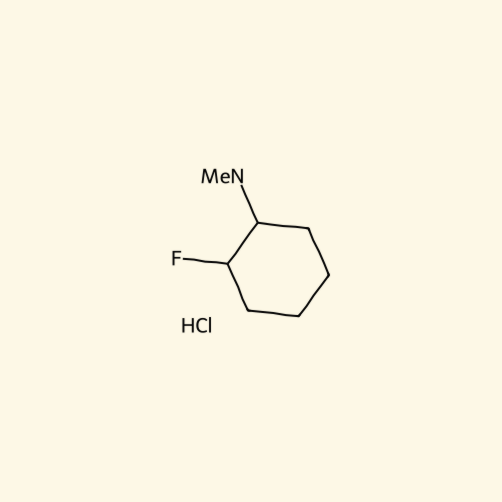 CNC1CCCCC1F.Cl